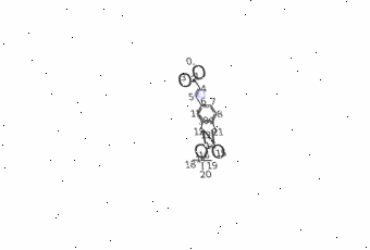 COC(=O)/C=C/c1ccc2c(c1)CN(C(=O)OC(C)(C)C)C2